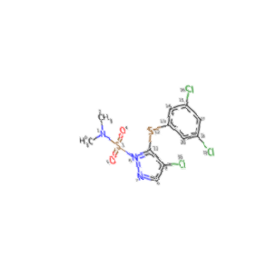 CN(C)S(=O)(=O)n1ncc(Cl)c1Sc1cc(Cl)cc(Cl)c1